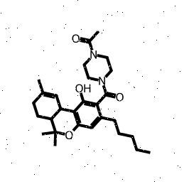 CCCCCc1cc2c(c(O)c1C(=O)N1CCN(C(C)=O)CC1)C1C=C(C)CCC1C(C)(C)O2